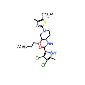 COCCO[C@H]1CN(c2nc(C)c(C(=O)O)s2)CC[C@H]1NC(=O)c1[nH]c(C)c(Cl)c1Cl